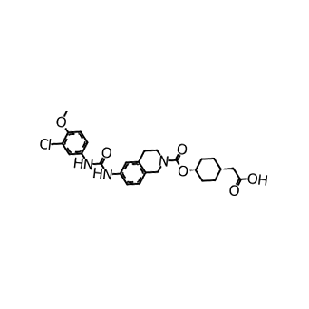 COc1ccc(NC(=O)Nc2ccc3c(c2)CCN(C(=O)O[C@H]2CC[C@H](CC(=O)O)CC2)C3)cc1Cl